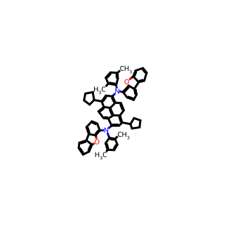 Cc1ccc(C)c(N(c2cc(C3CCCC3)c3ccc4c(N(c5cc(C)ccc5C)c5cccc6c5oc5ccccc56)cc(C5CCCC5)c5ccc2c3c54)c2cccc3c2oc2ccccc23)c1